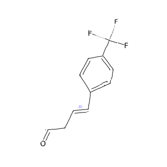 O=[C]C/C=C/c1ccc(C(F)(F)F)cc1